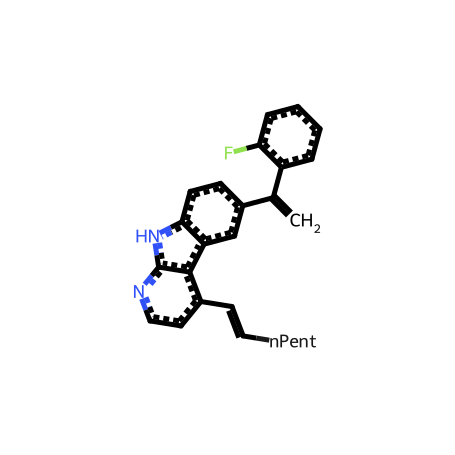 C=C(c1ccc2[nH]c3nccc(C=CCCCCC)c3c2c1)c1ccccc1F